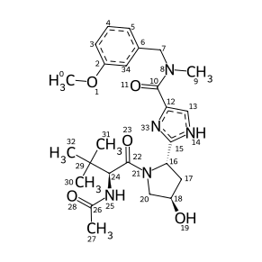 COc1cccc(CN(C)C(=O)c2c[nH]c([C@@H]3C[C@@H](O)CN3C(=O)[C@@H](NC(C)=O)C(C)(C)C)n2)c1